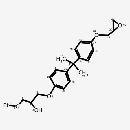 CCOCC(O)COc1ccc(C(C)(C)c2ccc(OCC3CO3)cc2)cc1